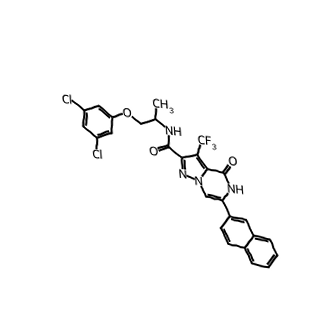 CC(COc1cc(Cl)cc(Cl)c1)NC(=O)c1nn2cc(-c3ccc4ccccc4c3)[nH]c(=O)c2c1C(F)(F)F